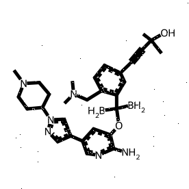 BC(B)(Oc1cc(-c2cnn(C3CCN(C)CC3)c2)cnc1N)c1cc(C#CC(C)(C)O)ccc1CN(C)C